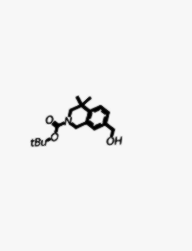 CC(C)(C)OC(=O)N1Cc2cc(CO)ccc2C(C)(C)C1